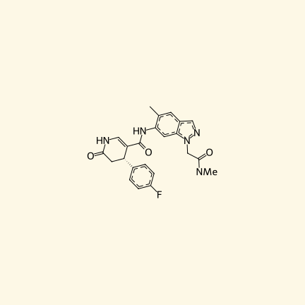 CNC(=O)Cn1ncc2cc(C)c(NC(=O)C3=CNC(=O)C[C@H]3c3ccc(F)cc3)cc21